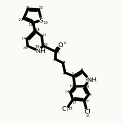 O=C(CCCc1c[nH]c2cc(Cl)c(Cl)cc12)C1CC(c2cccs2)=CCN1